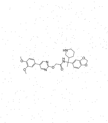 COc1ccc(-c2cnc(OCC(=O)NC(C)(c3ccc4c(c3)OCO4)C3CCCNC3)nc2)cc1OC